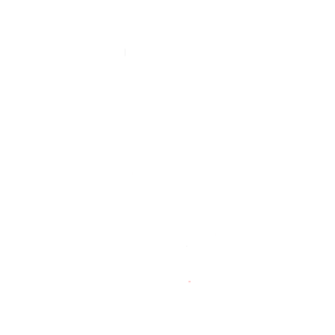 C#CCCOCCC(=O)O